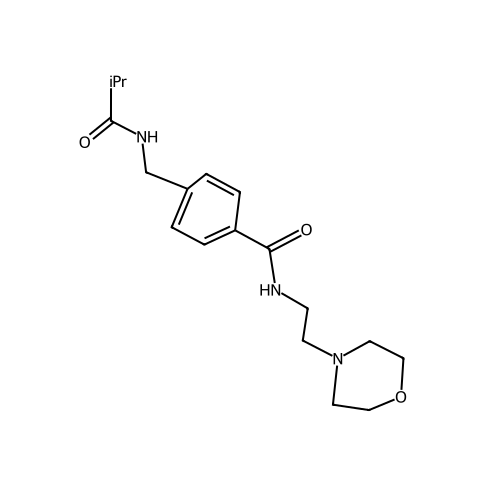 CC(C)C(=O)NCc1ccc(C(=O)NCCN2CCOCC2)cc1